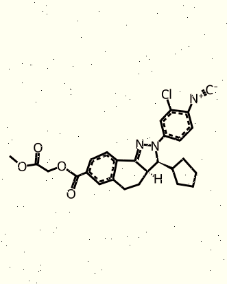 [C-]#[N+]c1ccc(N2N=C3c4ccc(C(=O)OCC(=O)OC)cc4CC[C@@H]3[C@@H]2C2CCCC2)cc1Cl